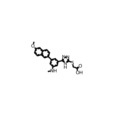 CNc1cc(-c2ccc3cc(OC)ccc3c2)cc(-c2nnc(SCC(=O)O)[nH]2)c1